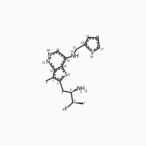 Cc1c(C[C@@H](N)[C@@H](C)F)sc2c(NCc3cccs3)cnnc12